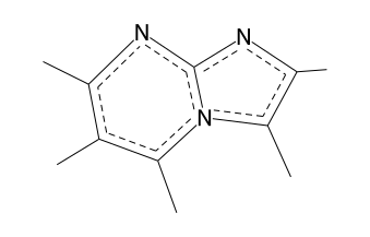 Cc1nc2nc(C)c(C)n2c(C)c1C